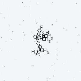 CC(C)COc1ccc(CNC(=O)N(Cc2ccc(F)cc2)C2CC(C)N(C)C(C)C2)cc1